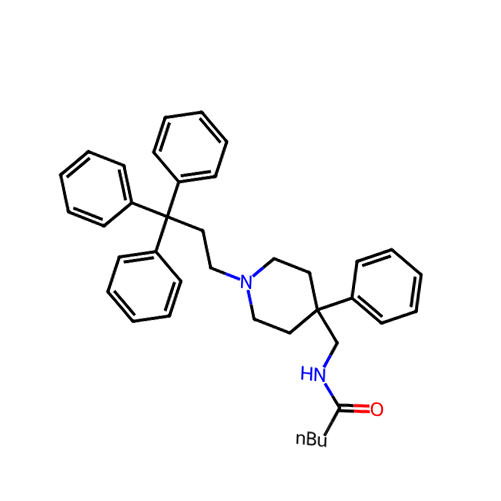 CCCCC(=O)NCC1(c2ccccc2)CCN(CCC(c2ccccc2)(c2ccccc2)c2ccccc2)CC1